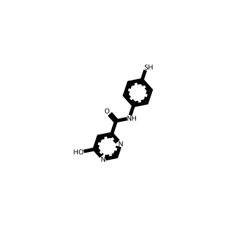 O=C(Nc1ccc(S)cc1)c1cc(O)ncn1